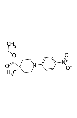 CCOC(=O)C1(C)CCN(c2ccc([N+](=O)[O-])cc2)CC1